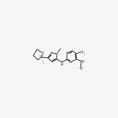 CCNc1nc(Nc2cc([C@@]3(C)CCCO3)nn2C)ncc1C(F)(F)F